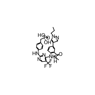 CCCn1cc(-c2ccc(Nc3nc(Nc4ccc(CP(=O)(O)O)cc4)ncc3C(F)(F)F)c(C(=O)NC)c2)cn1